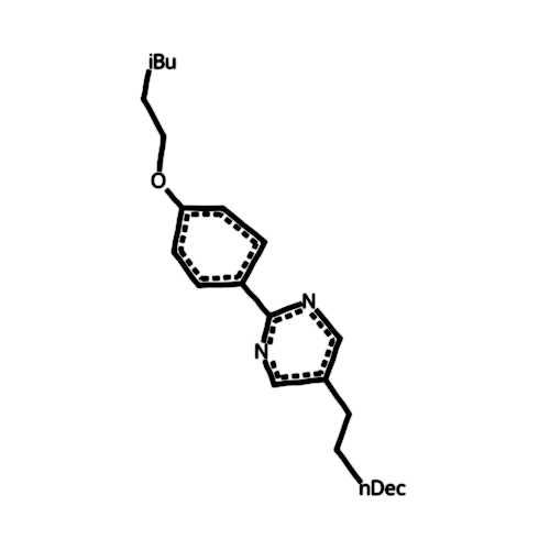 CCCCCCCCCCCCc1cnc(-c2ccc(OCCC(C)CC)cc2)nc1